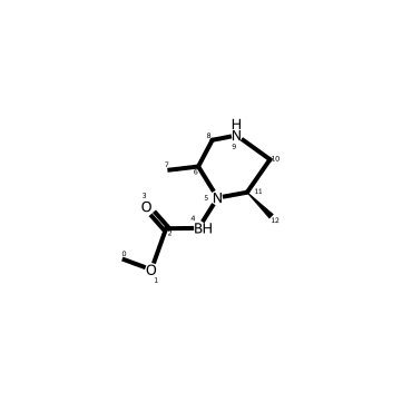 COC(=O)BN1C(C)CNC[C@H]1C